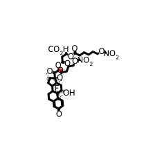 C[C@H]1CC2C3CCC4=CC(=O)C=C[C@]4(C)[C@@]3(F)[C@@H](O)C[C@]2(C)[C@@]1(OC(=O)CCCO[N+](=O)[O-])C(=O)COC(=O)CC(OC(=O)CCCCCO[N+](=O)[O-])C(=O)O